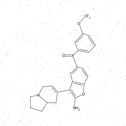 Nc1oc2ccc(C(=O)c3cccc(OC(F)(F)F)c3)cc2c1C1=CCN2CCCC2C1